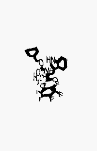 C[C@](Cc1c[nH]c2ccccc12)(NC(=O)OCc1ccccc1)C(=O)Oc1c(F)c(F)c(F)c(F)c1F